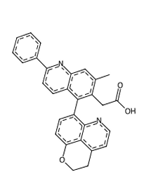 Cc1cc2nc(-c3ccccc3)ccc2c(-c2ccc3c4c(ccnc24)CCO3)c1CC(=O)O